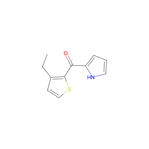 CCc1ccsc1C(=O)c1ccc[nH]1